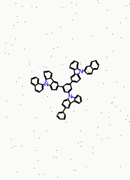 c1ccc(-c2ccc3c(c2)c2ccccc2n3-c2cc(-c3ccc4c(c3)c3ccccc3n4-c3ccc4ccccc4c3)cc(-c3ccc4c(c3)c3ccccc3n4-c3cccc4ccccc34)c2)cc1